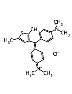 Cc1cc(C(=C2C=CC(=[N+](C)C)C=C2)c2ccc(N(C)C)cc2)c(C)s1.[Cl-]